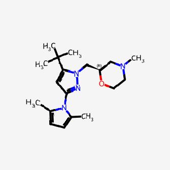 Cc1ccc(C)n1-c1cc(C(C)(C)C)n(C[C@H]2CN(C)CCO2)n1